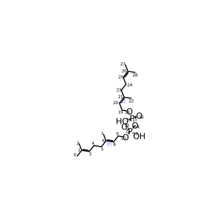 CC(C)=CCC/C(C)=C/COP(=O)(O)OP(=O)(O)OC/C=C(\C)CCC=C(C)C